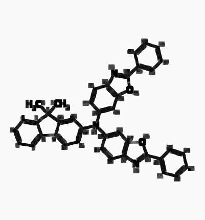 CC1(C)c2ccccc2-c2ccc(N(c3ccc4nc(-c5ccccc5)oc4c3)c3ccc4nc(-c5ccccc5)oc4c3)cc21